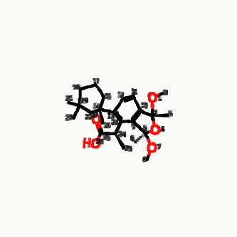 CO[C@]1(C)O[C@@](C)(OC)c2c1ccc([C@@]1(C)CCCC(C)(C)C1)c2[C@@H](C)C(=O)O